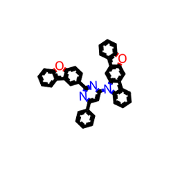 c1ccc(-c2cc(-n3c4ccccc4c4cc5oc6ccccc6c5cc43)nc(-c3ccc4oc5ccccc5c4c3)n2)cc1